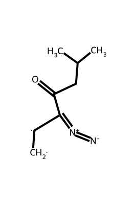 [CH2][CH]C(=[N+]=[N-])C(=O)CC(C)C